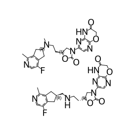 Cc1ncc(F)c2c1C[C@@H](CNCC[C@@H]1CN(c3cnc4c(n3)NC(=O)CO4)C(=O)O1)C2.Cc1ncc(F)c2c1C[C@@H](N(C)CC[C@H]1CN(c3cnc4c(n3)NC(=O)CO4)C(=O)O1)C2